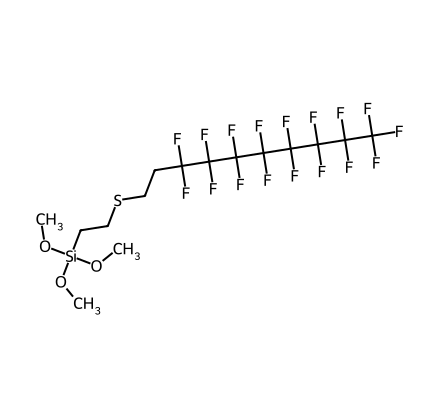 CO[Si](CCSCCC(F)(F)C(F)(F)C(F)(F)C(F)(F)C(F)(F)C(F)(F)C(F)(F)C(F)(F)F)(OC)OC